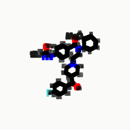 COc1ccccc1N(CCN1CCC(C(=O)c2ccc(F)cc2)CC1)C(=O)c1ccc(NC(=O)C(C)(C)C)cc1